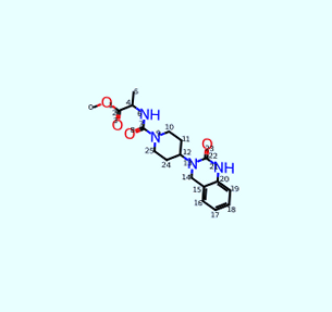 COC(=O)C(C)NC(=O)N1CCC(N2Cc3ccccc3NC2=O)CC1